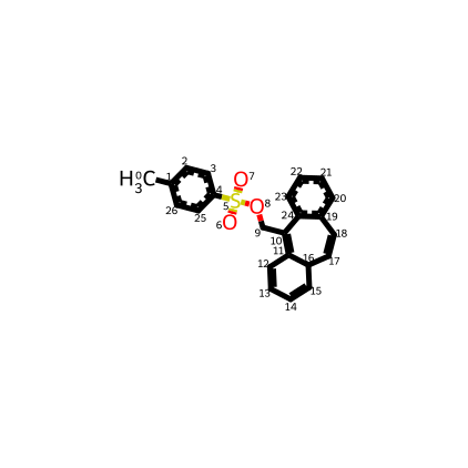 Cc1ccc(S(=O)(=O)OCC2=C3C=CC=CC3C=Cc3ccccc32)cc1